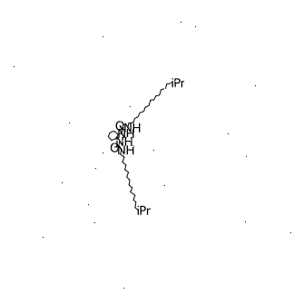 CC(C)CCCCCCCCCCCCCCCNC(=O)NC1CCCCC1NC(=O)NCCCCCCCCCCCCCCCC(C)C